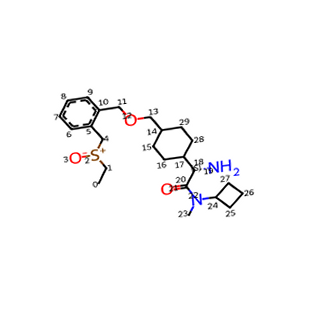 CC[S+]([O-])Cc1ccccc1COCC1CCC([C@H](N)C(=O)N(C)C2CCC2)CC1